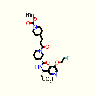 CC(C)(C)OC(=O)N1CCC(CCC(=O)N2CCC[C@@H](C(=O)N[C@@H](CC(=O)O)c3cncc(OCCF)c3)C2)CC1